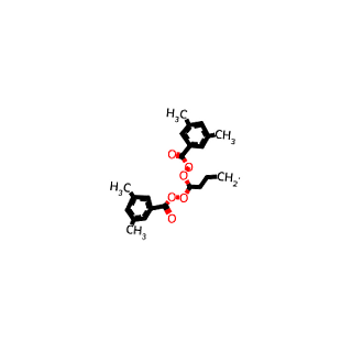 [CH2]CC[C](OOC(=O)c1cc(C)cc(C)c1)OOC(=O)c1cc(C)cc(C)c1